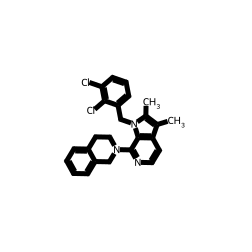 Cc1c(C)n(Cc2cccc(Cl)c2Cl)c2c(N3CCc4ccccc4C3)nccc12